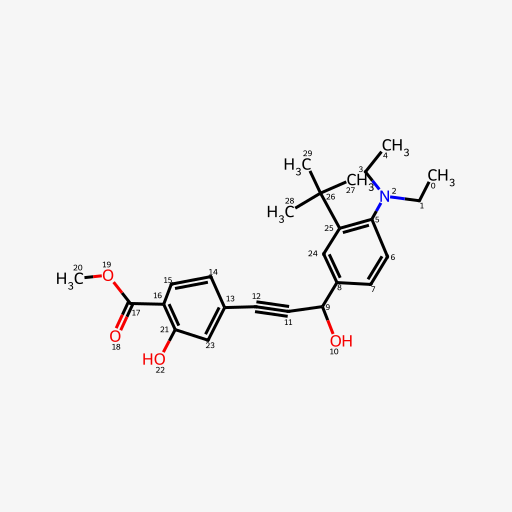 CCN(CC)c1ccc(C(O)C#Cc2ccc(C(=O)OC)c(O)c2)cc1C(C)(C)C